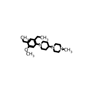 CCc1cc(CC)c(N2CCC(N3CCN(C)CC3)CC2)cc1OC